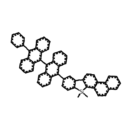 C[Si]1(C)c2ccc(-c3c4ccccc4c(-c4c5ccccc5c(-c5ccccc5)c5ccccc45)c4ccccc34)cc2-c2ccc3c(ccc4ccccc43)c21